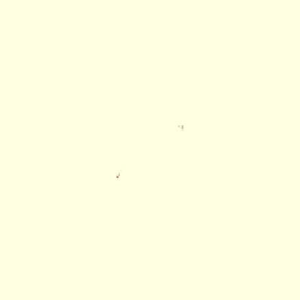 C[C@@H](O)CCCN